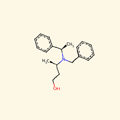 C[C@H](CCO)N(Cc1ccccc1)[C@H](C)c1ccccc1